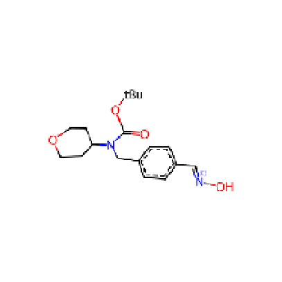 CC(C)(C)OC(=O)N(Cc1ccc(/C=N/O)cc1)C1CCOCC1